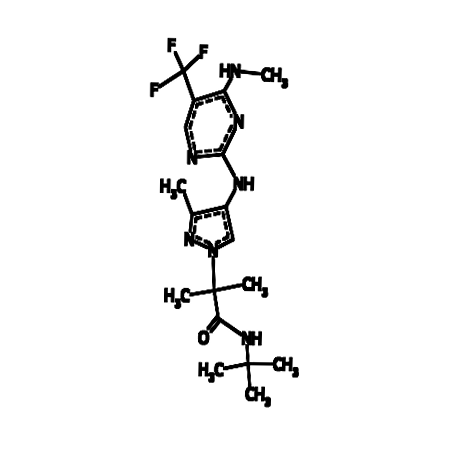 CNc1nc(Nc2cn(C(C)(C)C(=O)NC(C)(C)C)nc2C)ncc1C(F)(F)F